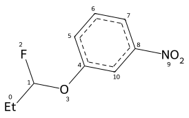 CCC(F)Oc1cccc([N+](=O)[O-])c1